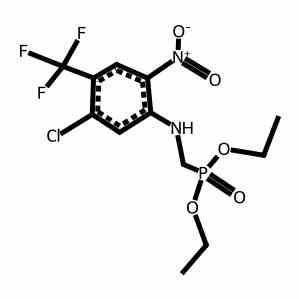 CCOP(=O)(CNc1cc(Cl)c(C(F)(F)F)cc1[N+](=O)[O-])OCC